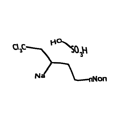 CCCCCCCCCCC[CH]([Na])CC(Cl)(Cl)Cl.O=S(=O)(O)O